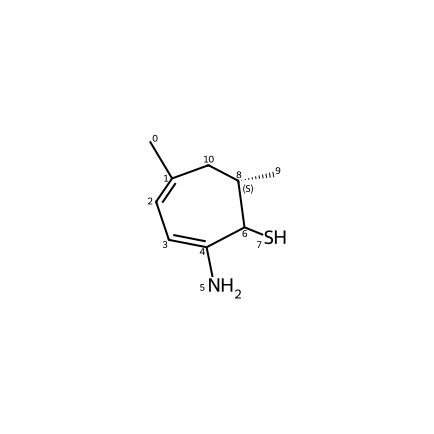 CC1=CC=C(N)C(S)[C@@H](C)C1